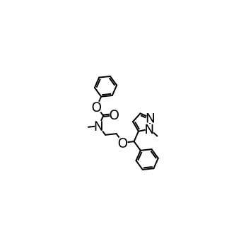 CN(CCOC(c1ccccc1)c1ccnn1C)C(=O)Oc1ccccc1